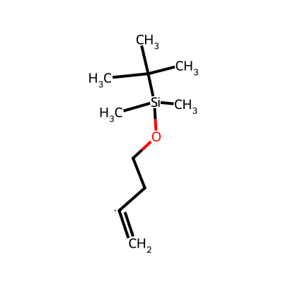 C=[C]CCO[Si](C)(C)C(C)(C)C